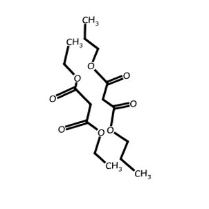 CCCOC(=O)CC(=O)OCCC.CCOC(=O)CC(=O)OCC